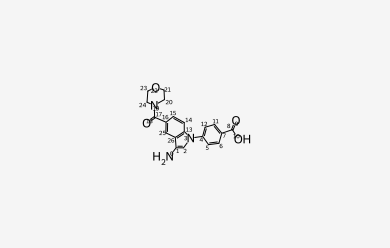 Nc1cn(-c2ccc(C(=O)O)cc2)c2ccc(C(=O)N3CCOCC3)cc12